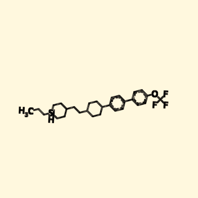 CCC[SiH]1CCC(CCC2CCC(c3ccc(-c4ccc(OC(F)(F)F)cc4)cc3)CC2)CC1